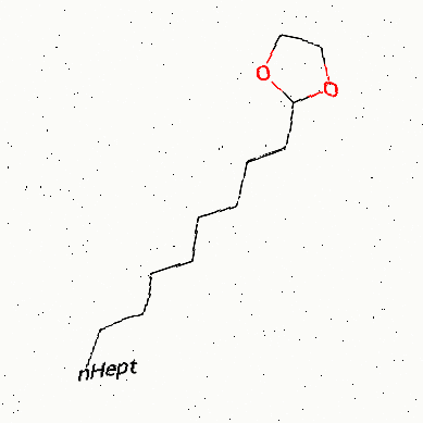 CCCCCCCCCCCCCCCC1OCCO1